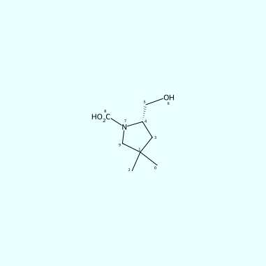 CC1(C)C[C@@H](CO)N(C(=O)O)C1